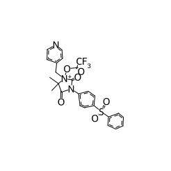 CC1(C)C(=O)N(c2ccc(S(=O)(=O)c3ccccc3)cc2)C(=O)[N+]1(Cc1ccncc1)OC(=O)C(F)(F)F